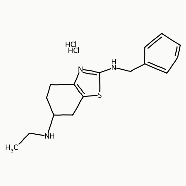 CCNC1CCc2nc(NCc3ccccc3)sc2C1.Cl.Cl